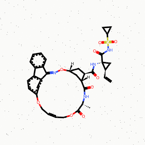 C=C[C@@H]1C[C@]1(NC(=O)[C@@H]1C[C@@H]2C[C@H]1C(=O)N[C@H](C)C(=O)OC/C=C\COc1ccc3c(c1)/C(=N/O2)c1ccccc1-3)C(=O)NS(=O)(=O)C1CC1